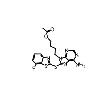 CC(=O)OCCCCn1c(Sc2nc3cccc(F)c3s2)nc2c(N)ncnc21